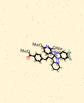 COC(=O)c1ccc(C=CC(C2CCCCC2)C2(c3ccc(OC)nc3OC)Nc3cc(F)c(F)cc3N2)cc1